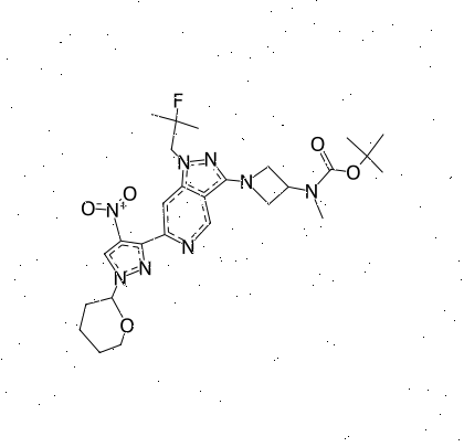 CN(C(=O)OC(C)(C)C)C1CN(c2nn(CC(C)(C)F)c3cc(-c4nn(C5CCCCO5)cc4[N+](=O)[O-])ncc23)C1